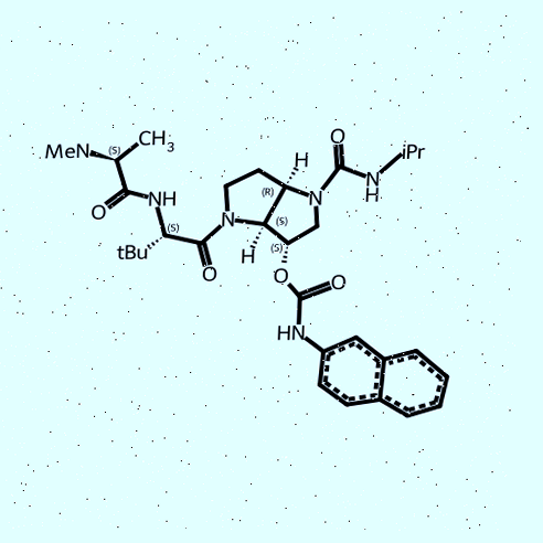 CN[C@@H](C)C(=O)N[C@H](C(=O)N1CC[C@@H]2[C@H]1[C@@H](OC(=O)Nc1ccc3ccccc3c1)CN2C(=O)NC(C)C)C(C)(C)C